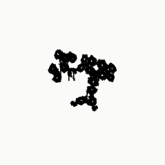 CC(C)(C)c1ccc2c(c1)c1cc(C(C)(C)C)ccc1n2-c1ccc(-c2ccc(-n3c4ccc(C5(c6ccccc6)c6ccccc6-c6ccccc65)cc4c4cc(C5(c6ccc(-c7cncc(-c8cc(-n9c%10ccccc%10c%10ccccc%109)cc(-n9c%10ccccc%10c%10ccccc%109)c8)c7)cc6)c6ccccc6C6C=CC=CC65)ccc43)cc2)cc1